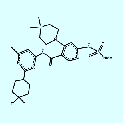 CNS(=O)(=O)Nc1ccc(C(=O)Nc2cc(C)nc(C3CCC(F)(F)CC3)n2)c(N2CC[Si](C)(C)CC2)c1